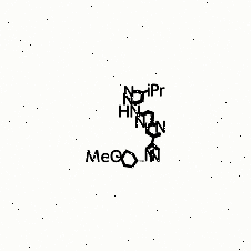 CO[C@H]1CC[C@H](Cn2cc(-c3cnc4ccc(Nc5cc(C(C)C)cnn5)nc4c3)cn2)CC1